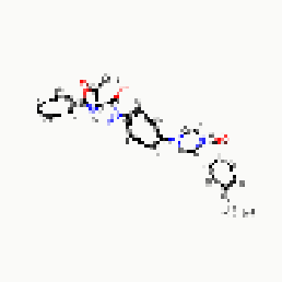 O=C(Nc1ccc(N2CCN(C(=O)[C@H]3CC[C@@H](C(=O)O)CC3)CC2)cc1)c1nc(-c2ccccc2)oc1C(F)(F)F